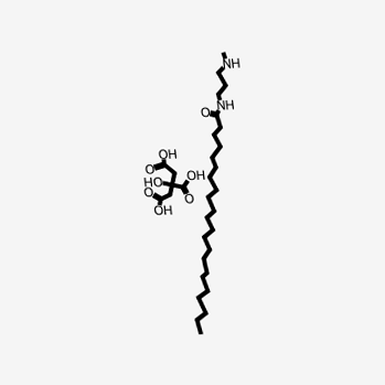 CCCCCCCCCCCCCCCCCCCCCC(=O)NCCCNC.O=C(O)CC(O)(CC(=O)O)C(=O)O